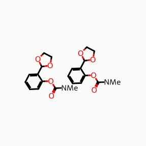 CNC(=O)Oc1ccccc1C1OCCO1.CNC(=O)Oc1ccccc1C1OCCO1